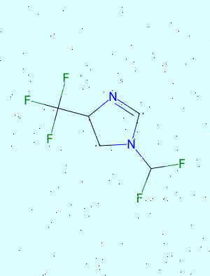 FC(F)N1[C]=NC(C(F)(F)F)[CH]1